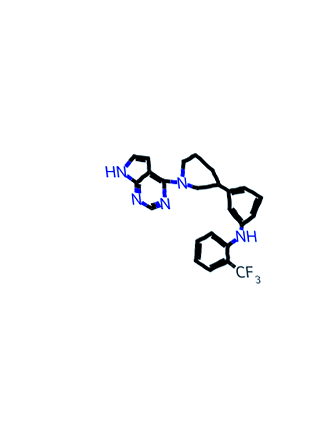 FC(F)(F)c1ccccc1Nc1cccc(C2CCCN(c3ncnc4[nH]ccc34)C2)c1